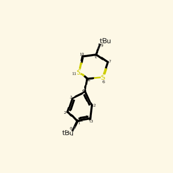 CC(C)(C)c1ccc(C2SCC(C(C)(C)C)CS2)cc1